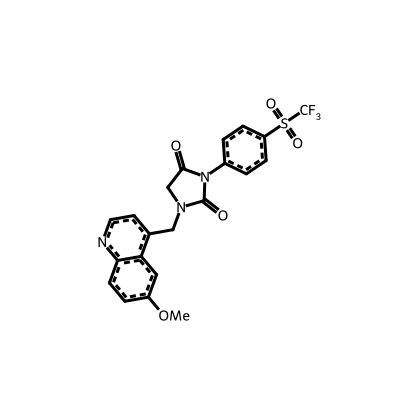 COc1ccc2nccc(CN3CC(=O)N(c4ccc(S(=O)(=O)C(F)(F)F)cc4)C3=O)c2c1